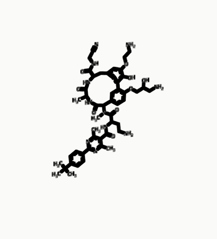 Cc1nc(-c2ccc(C(C)(C)C)cc2)nc(C)c1C(=O)NC(CCN)C(=O)N(C)C1C(=O)NC(C)C(=O)NC(C(=O)NCC#N)Cc2cc(OCCN)c(O)c(c2)-c2cc1ccc2OCC(O)CN